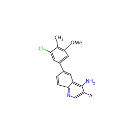 COc1cc(-c2ccc3ncc(C(C)=O)c(N)c3c2)cc(Cl)c1C